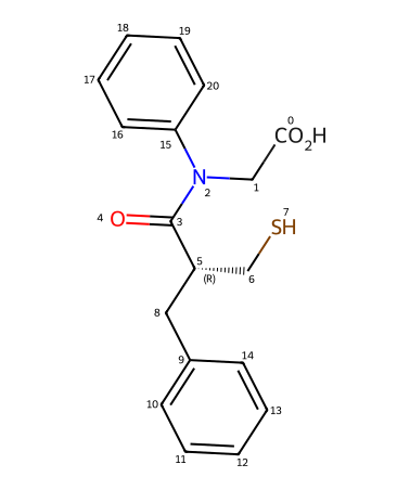 O=C(O)CN(C(=O)[C@H](CS)Cc1ccccc1)c1ccccc1